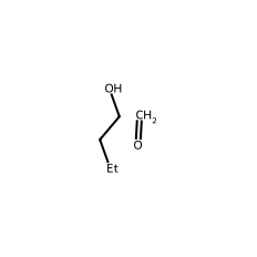 C=O.CCCCO